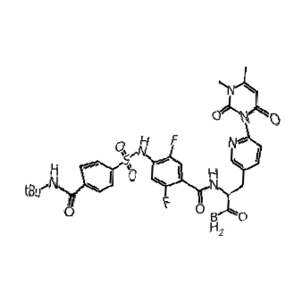 BC(=O)[C@H](Cc1ccc(-n2c(=O)cc(C)n(C)c2=O)nc1)NC(=O)c1cc(F)c(NS(=O)(=O)c2ccc(C(=O)NC(C)(C)C)cc2)cc1F